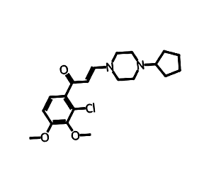 COc1ccc(C(=O)C=CN2CCN(C3CCCC3)CC2)c(Cl)c1OC